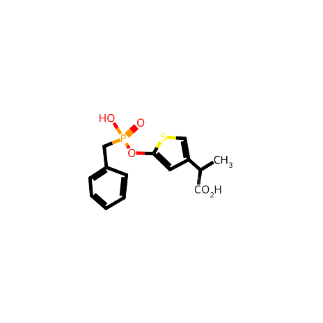 CC(C(=O)O)c1csc(OP(=O)(O)Cc2ccccc2)c1